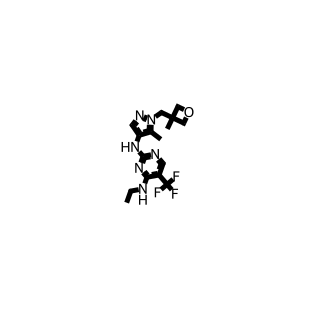 CCNc1nc(Nc2cnn(CC3(C)COC3)c2C)ncc1C(F)(F)F